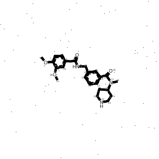 COc1ccc(C(=O)NCc2cccc(C(=O)N(C)C3CCNCC3)c2)cc1OC